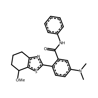 COC1CCCc2nc(-c3ccc(N(C)C)cc3C(=O)Nc3ccccc3)sc21